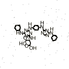 O=C(O)CC(Nc1nc(Nc2ccccc2)nc(Nc2ccc(Nc3ncnc(Nc4ccccc4)n3)cc2)n1)C(=O)O